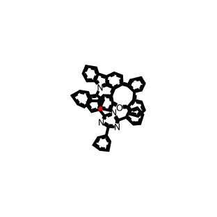 c1ccc(-c2ccc3oc4ccccc4c4ccccc4c4ccc5c6ccccc6n(-c6cccc(-c7nc(-c8ccccc8)nc(-c8ccccc8)n7)c6)c5c4c3c2)cc1